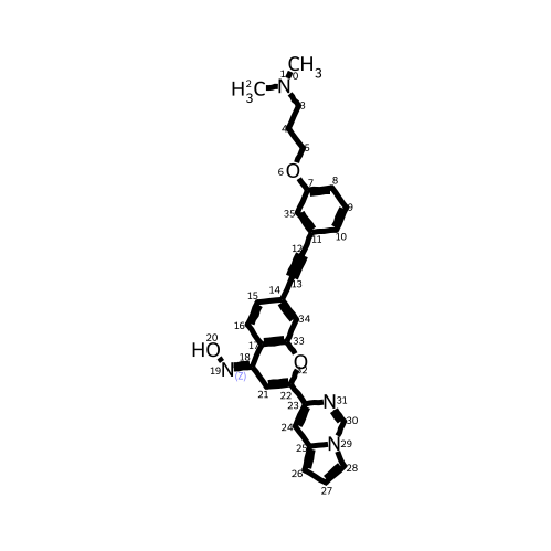 CN(C)CCCOc1cccc(C#Cc2ccc3/c(=N\O)cc(-c4cc5cccn5cn4)oc3c2)c1